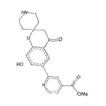 COC(=O)c1ccnc(-c2ccc3c(c2)C(=O)CC2(CCNCC2)O3)c1.Cl